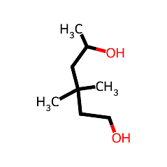 CC(O)CC(C)(C)CCO